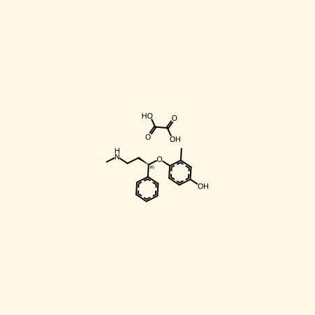 CNCC[C@@H](Oc1ccc(O)cc1C)c1ccccc1.O=C(O)C(=O)O